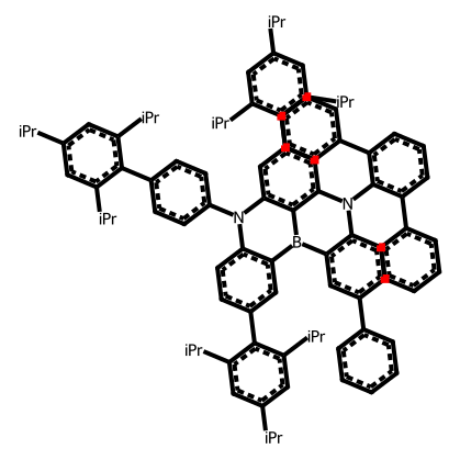 CC(C)c1cc(C(C)C)c(-c2ccc(N3c4ccc(-c5c(C(C)C)cc(C(C)C)cc5C(C)C)cc4B4c5cc(-c6ccccc6)ccc5N(c5c(-c6ccccc6)cccc5-c5ccccc5)c5cc(-c6c(C(C)C)cc(C(C)C)cc6C(C)C)cc3c54)cc2)c(C(C)C)c1